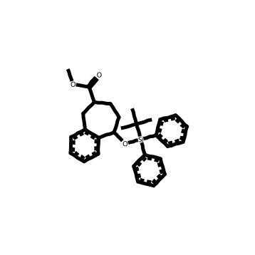 COC(=O)C1CCC(O[Si](c2ccccc2)(c2ccccc2)C(C)(C)C)c2ccccc2C1